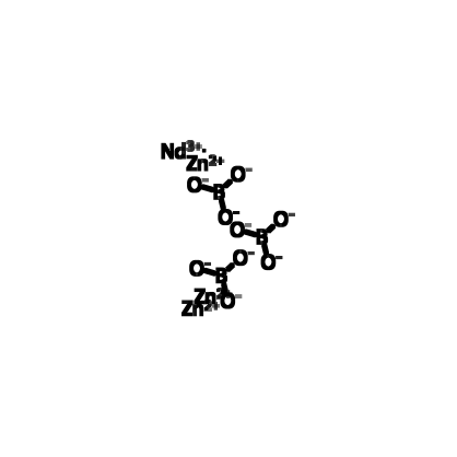 [Nd+3].[O-]B([O-])[O-].[O-]B([O-])[O-].[O-]B([O-])[O-].[Zn+2].[Zn+2].[Zn+2]